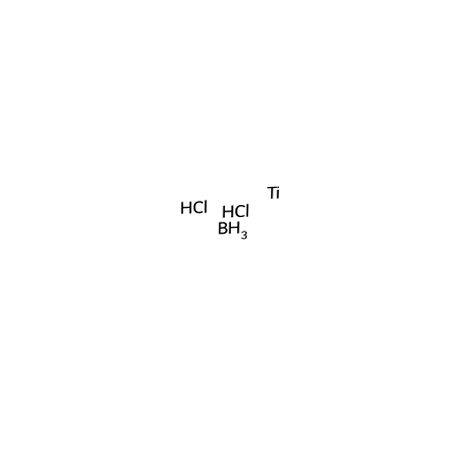 B.Cl.Cl.[Ti]